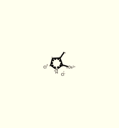 Cc1cc[nH][c]1[Os+2].[Cl-].[Cl-]